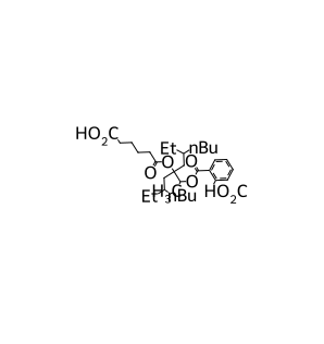 CCCCC(CC)CC(CC(CC)CCCC)(OC(=O)CCCCC(=O)O)C(C)OC(=O)c1ccccc1C(=O)O